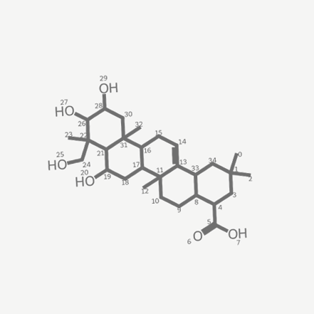 CC1(C)CC(C(=O)O)C2CCC3(C)C(=CCC4C3CC(O)C3C(C)(CO)C(O)C(O)CC43C)C2C1